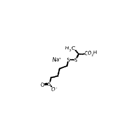 CC(SSCCCCS(=O)[O-])C(=O)O.[Na+]